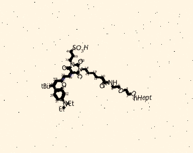 CCCCCCCOCCOCCNC(=O)CCCCCN1C(=O)/C(=C/C=C2/C=C(C(C)(C)C)c3ccc(N(CC)CC)cc3O2)C(=O)N(CCCS(=O)(=O)O)C1=O